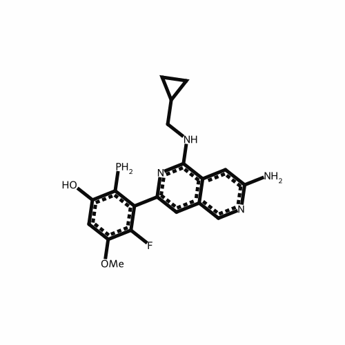 COc1cc(O)c(P)c(-c2cc3cnc(N)cc3c(NCC3CC3)n2)c1F